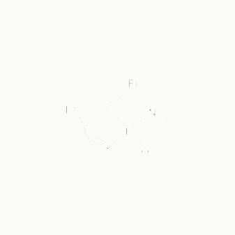 CCOP(N)(=O)/C=C\S